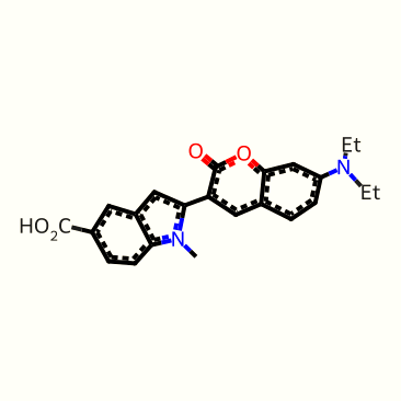 CCN(CC)c1ccc2cc(-c3cc4cc(C(=O)O)ccc4n3C)c(=O)oc2c1